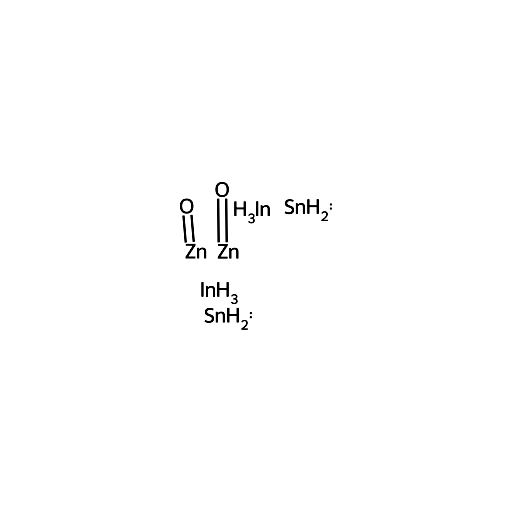 [InH3].[InH3].[O]=[Zn].[O]=[Zn].[SnH2].[SnH2]